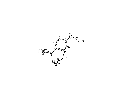 C=Cc1ccc(OC)cc1CC